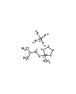 CC(C)OC[N+]1(C)CCCC1.[F][Al-]([F])([F])[F]